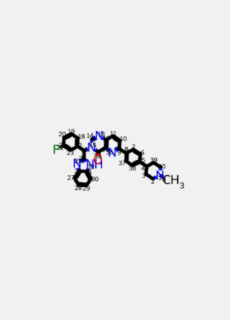 CN1CCC(c2ccc(-c3ccc4ncn(C(c5cccc(F)c5)c5nc6ccccc6[nH]5)c(=O)c4n3)cc2)CC1